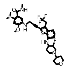 CNC(=O)c1cc(NCC#Cc2sc3c(NC4CCN(C5CCOCC5)CC4F)cccc3c2CC(F)(F)F)c(OC)cc1P(C)C